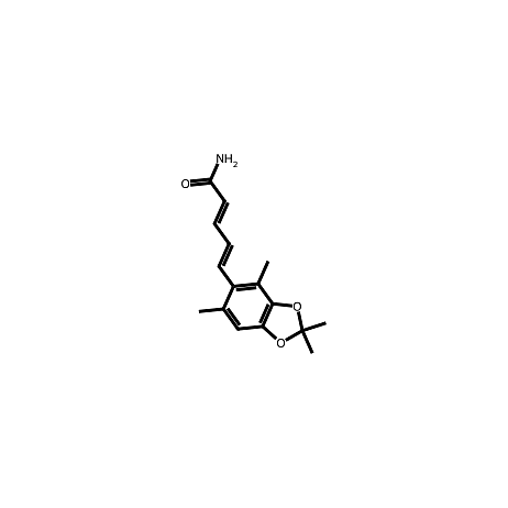 Cc1cc2c(c(C)c1C=CC=CC(N)=O)OC(C)(C)O2